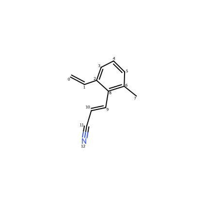 C=Cc1cccc(C)c1C=CC#N